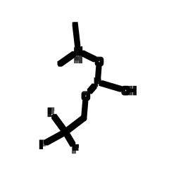 C[SiH](C)OP(O)OCC(F)(F)F